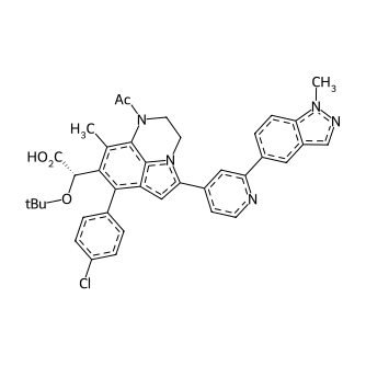 CC(=O)N1CCn2c(-c3ccnc(-c4ccc5c(cnn5C)c4)c3)cc3c(-c4ccc(Cl)cc4)c([C@H](OC(C)(C)C)C(=O)O)c(C)c1c32